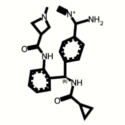 C#[N+]C(N)c1ccc([C@@H](NC(=O)C2CC2)c2ccccc2NC(=O)C2CN(C)C2)cc1